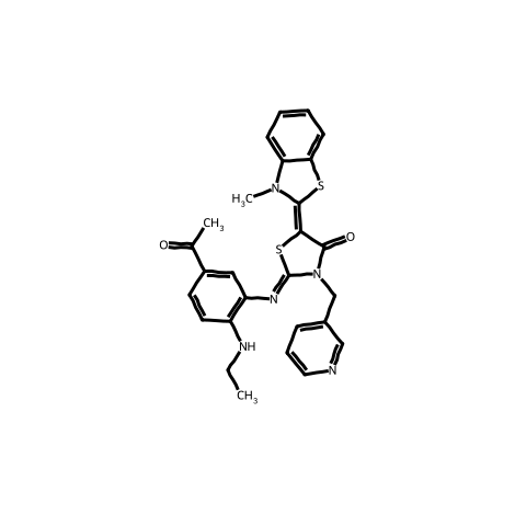 CCNc1ccc(C(C)=O)cc1N=C1SC(=C2Sc3ccccc3N2C)C(=O)N1Cc1cccnc1